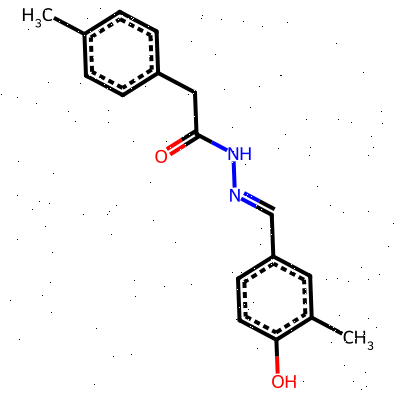 Cc1ccc(CC(=O)N/N=C/c2ccc(O)c(C)c2)cc1